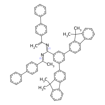 C=C(/N=C(\N=C(/C)c1ccc(-c2ccccc2)cc1)c1cc(-c2ccc3c(c2)C(C)(C)c2ccccc2-3)cc(-c2ccc3c(c2)C(C)(C)c2ccccc2-3)c1)c1ccc(-c2ccccc2)cc1